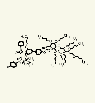 CCCCOCC[C@@H](OCCCC)C(OCCCC)[C@H](OCCCC)[C@@H](OC)O[C@@H]1C(COCCCC)O[C@@H](CS(=O)(=O)Oc2ccc(-c3ccc([C@@H]4[C@@H](CC[C@H](O[Si](C)(C)C(C)(C)C)c5ccc(F)cc5)C(=O)N4c4ccccc4)c(OCCCC)c3)cc2)[C@@H](OCCCC)C1OCCCC